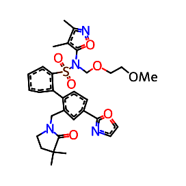 COCCOCN(c1onc(C)c1C)S(=O)(=O)c1ccccc1-c1ccc(-c2ncco2)cc1CN1CCC(C)(C)C1=O